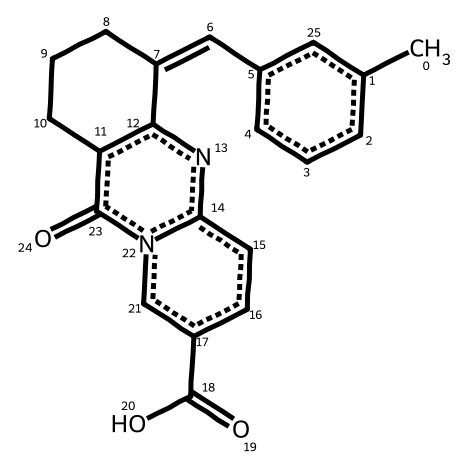 Cc1cccc(/C=C2/CCCc3c2nc2ccc(C(=O)O)cn2c3=O)c1